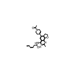 C=C/C=C\CC(O)Nc1nc(C)nc2c3c(c(C4=CCN(C(C)=O)CC4)cc12)CCO3